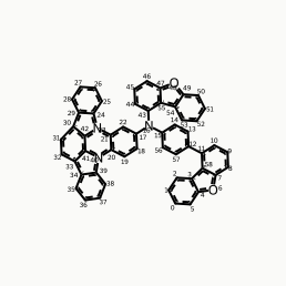 c1ccc2c(c1)oc1cccc(-c3ccc(N(c4ccc5c(c4)n4c6ccccc6c6ccc7c8ccccc8n5c7c64)c4cccc5oc6ccccc6c45)cc3)c12